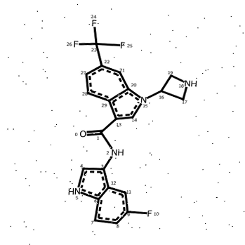 O=C(Nc1c[nH]c2ccc(F)cc12)c1cn(C2CNC2)c2cc(C(F)(F)F)ccc12